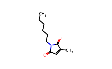 CCCCCCN1C(=O)C=C(C)C1=O